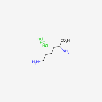 Cl.Cl.Cl.NCCCCC(N)C(=O)O